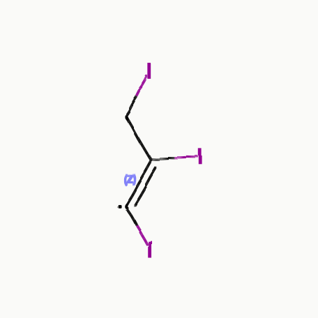 I/[C]=C(\I)CI